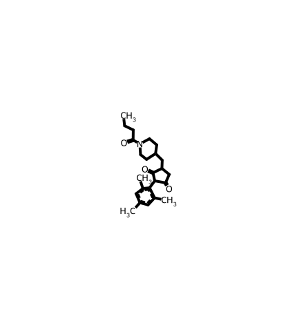 CCCC(=O)N1CCC(CC2CC(=O)C(c3c(C)cc(C)cc3C)C2=O)CC1